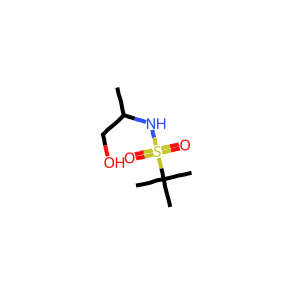 CC(CO)NS(=O)(=O)C(C)(C)C